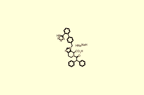 O=C(O)C1c2c(ncn2Cc2ccc(-c3ccccc3-c3nnn[nH]3)cc2)CCN1C(=O)C(c1ccccc1)c1ccccc1.[NaH].[NaH]